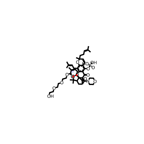 CC(C)=CCCC1(C)C=Cc2c(c(CC=C(C)C)c3c(c2OP(=O)(O)O)C(=O)C2=C(N4CCOCC4)C4CC5C(C)(C)OC(C/C=C(/C)C(=O)OCCOCCOCCO)(C4=O)C25O3)O1